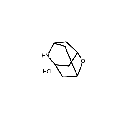 C1C2CC3CC(CC1O3)N2.Cl